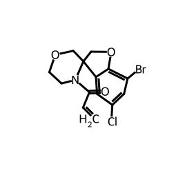 C=CC(=O)N1CCOCC12COc1c(Br)cc(Cl)cc12